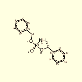 NP(=O)(OCc1ccccc1)OCc1ccccc1